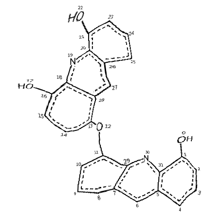 Oc1cccc2cc3cccc(Oc4ccc(O)c5nc6c(O)cccc6cc45)c3nc12